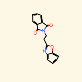 O=C1c2ccccc2C(=O)N1CCc1nc2ccccc2o1